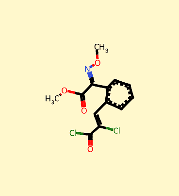 CO/N=C(/C(=O)OC)c1ccccc1/C=C(\Cl)C(=O)Cl